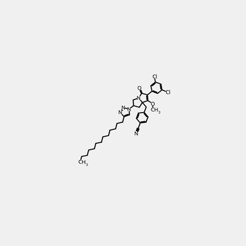 CCCCCCCCCCCCCc1cn(C2CN3C(=O)C(c4cc(Cl)cc(Cl)c4)=C(OC)C3(Cc3ccc(C#N)cc3)C2)nn1